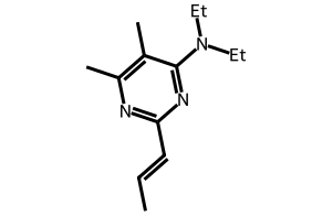 C/C=C/c1nc(C)c(C)c(N(CC)CC)n1